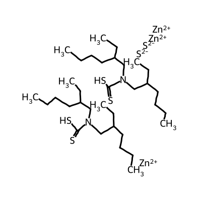 CCCCC(CC)CN(CC(CC)CCCC)C(=S)S.CCCCC(CC)CN(CC(CC)CCCC)C(=S)S.[S-2].[S-2].[Zn+2].[Zn+2].[Zn+2]